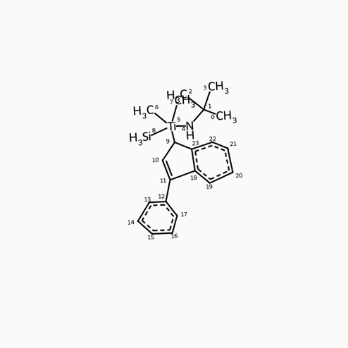 CC(C)(C)[NH][Ti]([CH3])([CH3])([SiH3])[CH]1C=C(c2ccccc2)c2ccccc21